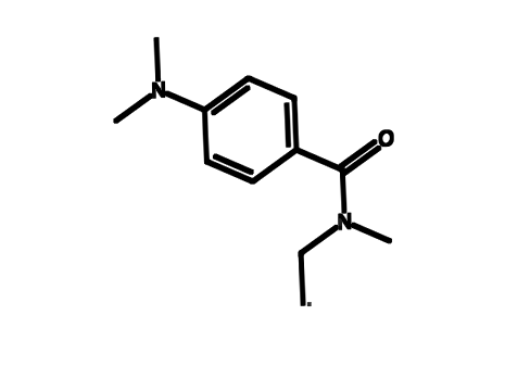 [CH2]CN(C)C(=O)c1ccc(N(C)C)cc1